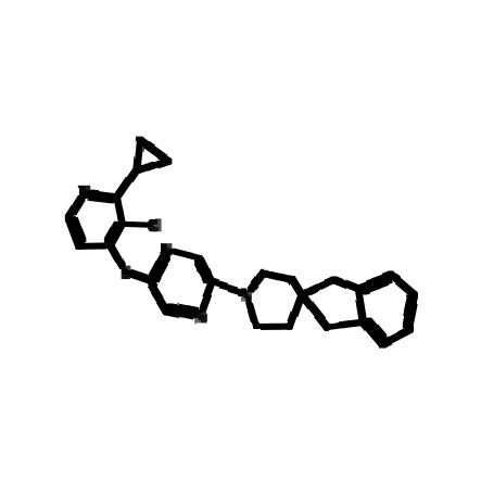 Clc1c(Sc2cnc(N3CCC4(CC3)Cc3ccccc3C4)cn2)ccnc1C1CC1